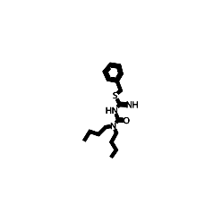 CCCCN(CCCC)C(=O)NC(=N)SCc1ccccc1